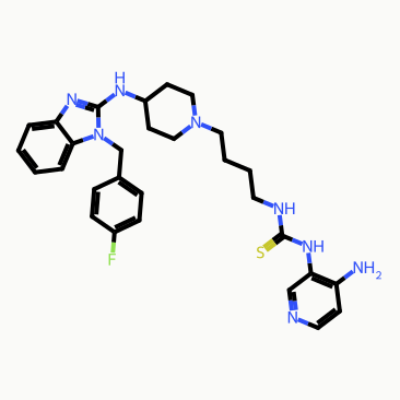 Nc1ccncc1NC(=S)NCCCCN1CCC(Nc2nc3ccccc3n2Cc2ccc(F)cc2)CC1